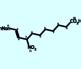 CCCCCCCCCC=CC(CCCCCCC(=O)O)[N+](=O)[O-]